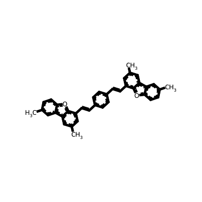 Cc1ccc2oc3c(/C=C/c4ccc(/C=C/c5cc(C)cc6c5oc5ccc(C)cc56)cc4)cc(C)cc3c2c1